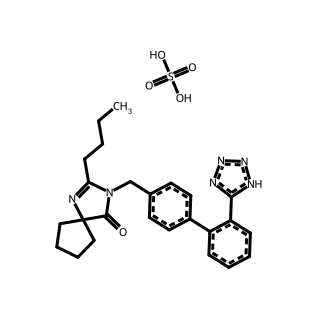 CCCCC1=NC2(CCCC2)C(=O)N1Cc1ccc(-c2ccccc2-c2nnn[nH]2)cc1.O=S(=O)(O)O